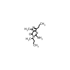 CCCc1nn(C)c2c(=O)n(C(C)CCC)c(N)nc12